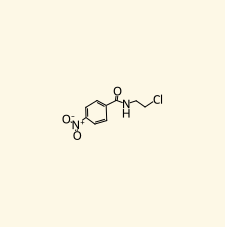 O=C(NCCCl)c1ccc([N+](=O)[O-])cc1